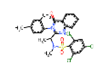 Cc1ccc(-n2c(C(C)N(C)S(=O)(=O)c3c(Cl)cc(Cl)cc3Cl)nc3ccccc3c2=O)c(C)c1